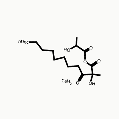 CCCCCCCCCCCCCCCCCC(=O)C(C)(O)C(=O)OC(=O)C(C)O.[CaH2]